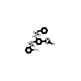 Cc1ccccc1S(=O)(=O)Nc1ccc(-c2noc(C(C)C)n2)cc1NS(=O)(=O)Cc1ccccc1